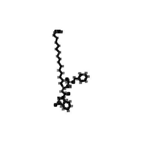 COCCCCCCCCCCCCCCC[C@H](CC(=O)n1n[n+]([O-])c2ccccc21)NC(=O)OCc1ccccc1